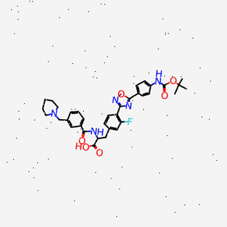 CC(C)(C)OC(=O)Nc1ccc(-c2nc(-c3ccc(CC(NC(=O)c4cccc(CN5CCCCC5)c4)C(=O)O)cc3F)no2)cc1